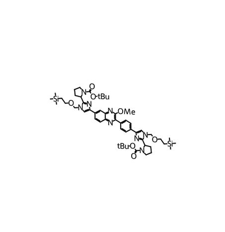 COc1nc2cc(-c3cn(COCC[Si](C)(C)C)c(C4CCCN4C(=O)OC(C)(C)C)n3)ccc2nc1-c1ccc(-c2cn(COCC[Si](C)(C)C)c(C3CCCN3C(=O)OC(C)(C)C)n2)cc1